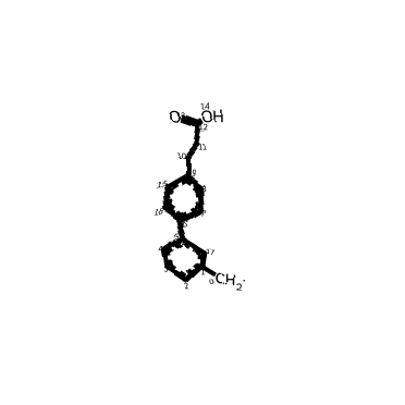 [CH2]c1cccc(-c2ccc(CCC(=O)O)cc2)c1